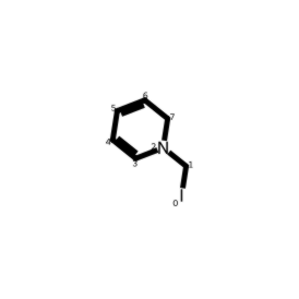 ICN1C=CC=CC1